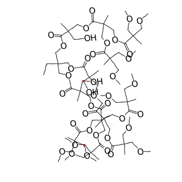 CCC(COC(=O)C(C)(CO)COCC(=O)C(C)(COC(=O)C(C)(COC)COC)COC(=O)C(C)(COC)COC)(COC(=O)C(C)(CO)COC(=O)C(C)(COC(=O)C(C)(COC)COC)COC(=O)C(C)(COC)COC)COC(=O)C(C)(CO)COC(=O)C(C)(COC(=O)C(C)(COC)COC)COC(=O)C(C)(COC)COC